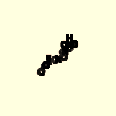 O=C1CCC(N2CCc3c(N4CCC(C(F)(F)COCc5ccccc5)CC4)cccc32)C(=O)N1